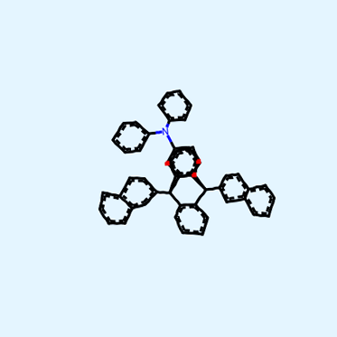 c1ccc(N(c2ccccc2)c2ccc3c(c2)C2(c4ccc5ccccc5c4)c4ccccc4C3(c3ccc4ccccc4c3)c3ccccc32)cc1